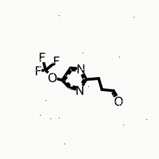 O=CCCc1ncc(OC(F)(F)F)cn1